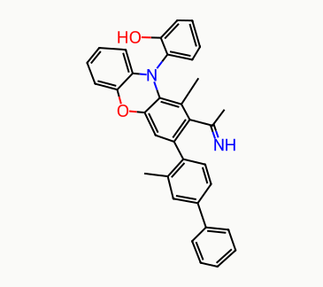 CC(=N)c1c(-c2ccc(-c3ccccc3)cc2C)cc2c(c1C)N(c1ccccc1O)c1ccccc1O2